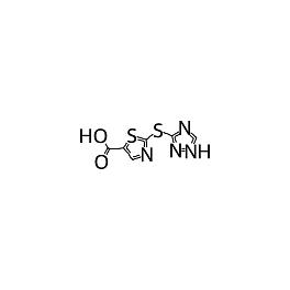 O=C(O)c1cnc(Sc2nc[nH]n2)s1